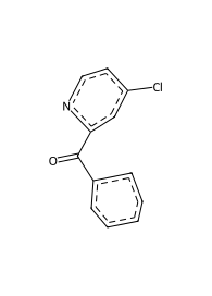 O=C(c1ccccc1)c1cc(Cl)ccn1